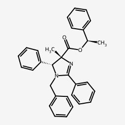 C[C@@H](OC(=O)[C@]1(C)N=C(c2ccccc2)N(Cc2ccccc2)[C@@H]1c1ccccc1)c1ccccc1